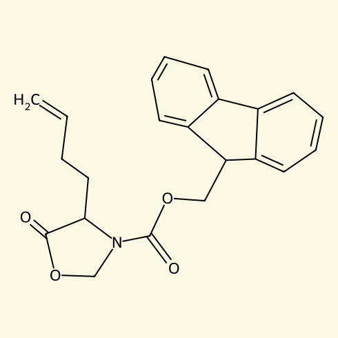 C=CCCC1C(=O)OCN1C(=O)OCC1c2ccccc2-c2ccccc21